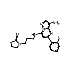 Bc1cnn2c(NCCCN3CCCC3=O)cc(-c3ccccc3Cl)nc12